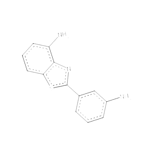 Nc1cccc(-c2nc3c(N)cccc3s2)c1